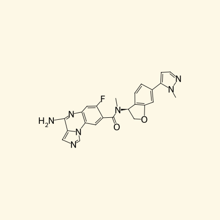 CN(C(=O)c1cc2c(cc1F)nc(N)c1cncn12)[C@@H]1COc2cc(-c3ccnn3C)ccc21